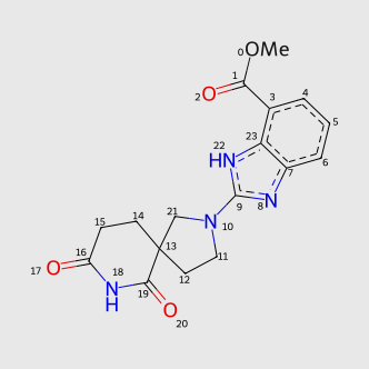 COC(=O)c1cccc2nc(N3CCC4(CCC(=O)NC4=O)C3)[nH]c12